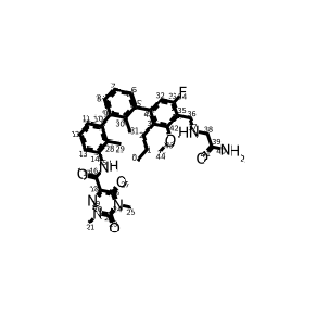 CCCc1c(-c2cccc(-c3cccc(NC(=O)c4nn(C)c(=O)n(C)c4=O)c3C)c2C)cc(F)c(CNCC(N)=O)c1OC